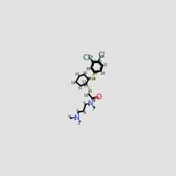 CN(C)CCCN(C)C(=O)CS[C@@H]1CCCC[C@H]1Sc1ccc(Cl)c(Cl)c1